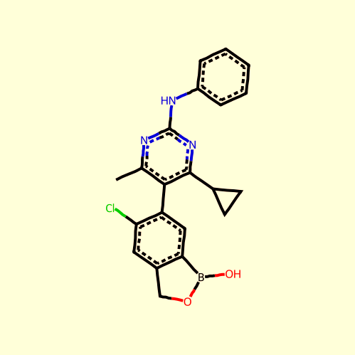 Cc1nc(Nc2ccccc2)nc(C2CC2)c1-c1cc2c(cc1Cl)COB2O